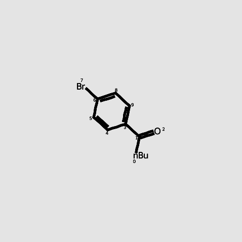 CCCCC(=O)c1ccc(Br)cc1